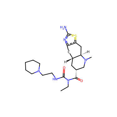 CCN(C(=O)NCCN1CCCCC1)C(=O)[C@@H]1C[C@@H]2Cc3nc(N)sc3C[C@H]2N(C)C1